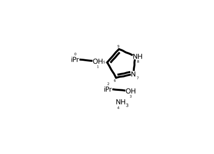 CC(C)O.CC(C)O.N.c1cn[nH]c1